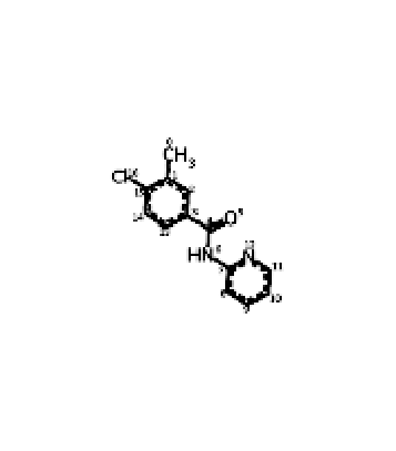 Cc1cc(C(=O)Nc2ccccn2)ccc1Cl